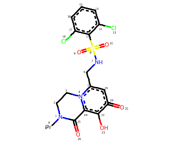 CC(C)N1CCn2c(CNS(=O)(=O)c3c(Cl)cccc3Cl)cc(=O)c(O)c2C1=O